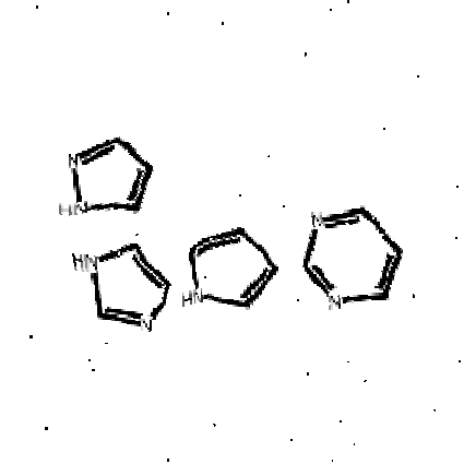 c1c[nH]cn1.c1cc[nH]c1.c1cn[nH]c1.c1cncnc1